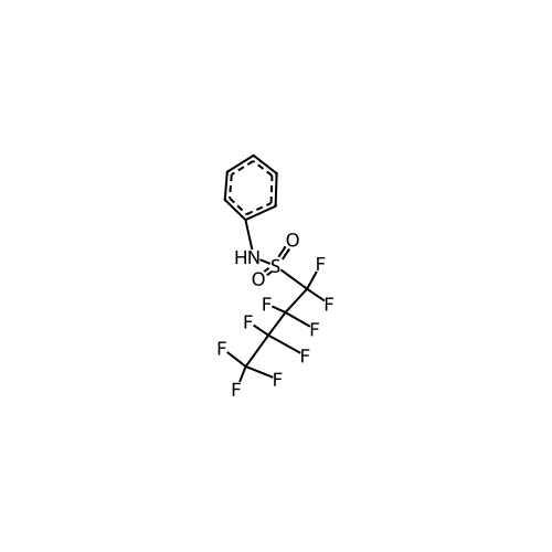 O=S(=O)(Nc1ccccc1)C(F)(F)C(F)(F)C(F)(F)C(F)(F)F